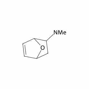 CNC1CC2C=CC1O2